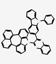 c1ccc(-n2c3ccccc3c3ccc(-c4nc5ccccc5nc4-n4c5cccc6c5c5c(cccc54)-c4cccc5cccc-6c45)cc32)cc1